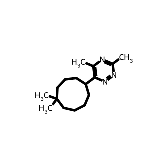 Cc1nnc(C2CCCCC(C)(C)CCC2)c(C)n1